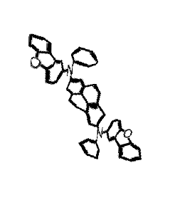 c1ccc(N(c2cc3ccc4cc(N(c5ccccc5)c5ccc6oc7ccccc7c6c5)cc5ccc(c2)c3c45)c2ccc3oc4ccccc4c3c2)cc1